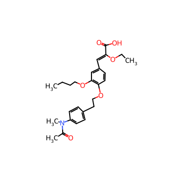 CCCCOc1cc(/C=C(\OCC)C(=O)O)ccc1OCCc1ccc(N(C)C(C)=O)cc1